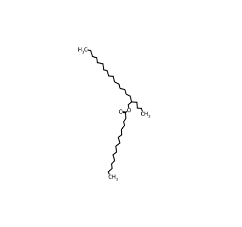 CCCCCCCCCCCCCCCCC(CCCC)COC(=O)CCCCCCCCCCCCCCC